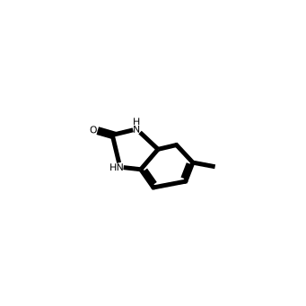 CC1=CC=C2NC(=O)NC2C1